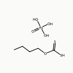 CCCCOC(=S)S.O=[As](O)(O)O